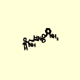 CNC(=O)[C@H](CCCCNC(=O)OCc1ccccc1N)NC